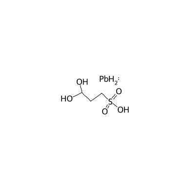 O=S(=O)(O)CCC(O)O.[PbH2]